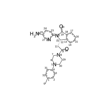 Cc1ccc(N2CCN(C(=O)C[C@H]3c4ccccc4C(=O)N3c3ccc(N)cn3)CC2)cc1